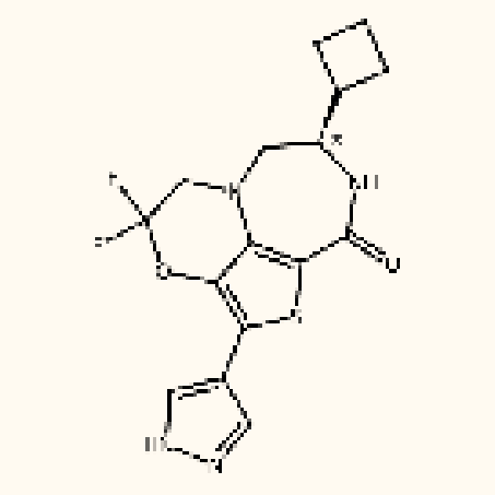 O=C1N[C@H](C2CCC2)CN2CC(F)(F)Oc3c(-c4cn[nH]c4)sc1c32